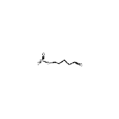 O=CCCCCO[SH](=O)=O